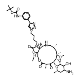 CC[C@H]1OC(=O)[C@H](C)C(=O)[C@H](C)[C@@H](O[C@@H]2O[C@H](C)CC(N)C2O)[C@](C)(OC)C[C@@H](C)CN[C@H](C)[C@@H]2[C@@H]1OC(=O)N2CCCCn1cc(-c2cccc(NC(=O)OC(C)(C)C)c2)nn1